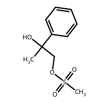 CC(O)(COS(C)(=O)=O)c1ccccc1